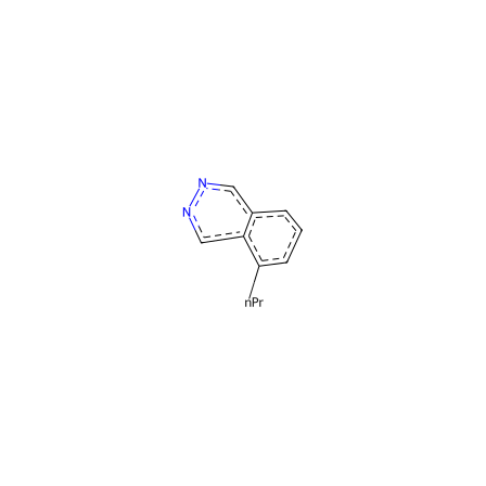 [CH2]CCc1cccc2cnncc12